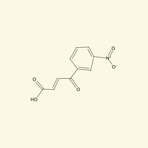 O=C(O)C=CC(=O)c1cccc([N+](=O)[O-])c1